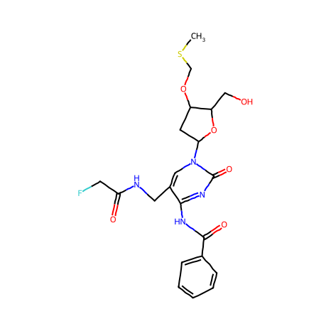 CSCOC1CC(n2cc(CNC(=O)CF)c(NC(=O)c3ccccc3)nc2=O)OC1CO